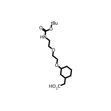 CC(C)(C)OC(=O)NCCOCCOC1CCCC(CC(=O)O)C1